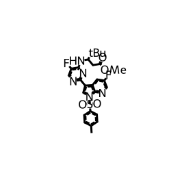 COC(=O)CC(Nc1nc(-c2cn(S(=O)(=O)c3ccc(C)cc3)c3ncc(F)cc23)ncc1F)C(C)(C)C